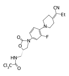 CCC(C#N)=C1CCN(c2ccc(N3C[C@H](CNC(=O)C(Cl)(Cl)Cl)OC3=O)cc2F)CC1